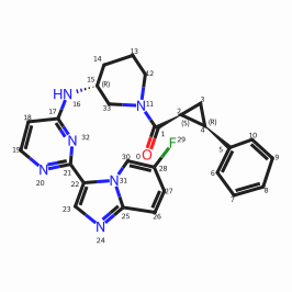 O=C([C@H]1C[C@H]1c1ccccc1)N1CCC[C@@H](Nc2ccnc(-c3cnc4ccc(F)cn34)n2)C1